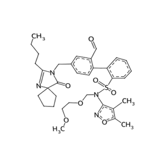 CCCCC1=NC2(CCCC2)C(=O)N1Cc1ccc(-c2ccccc2S(=O)(=O)N(COCCOC)c2noc(C)c2C)c(C=O)c1